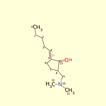 CCCC/C=C1\CCC(CN(C)C)C1=O